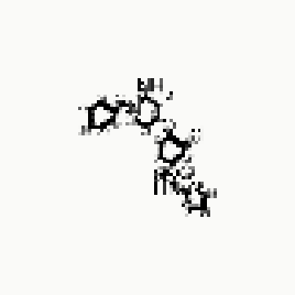 N[C@@H]1C[C@@H](Oc2ccc(S(=O)(=O)Nc3nccs3)cc2Cl)CCN1Cc1ccccc1